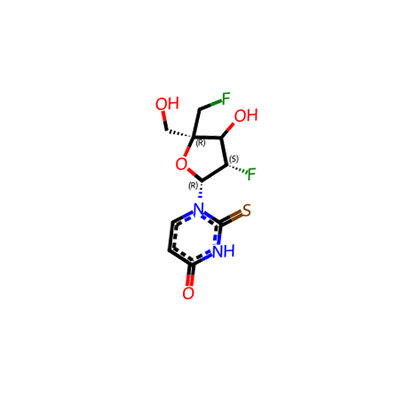 O=c1ccn([C@@H]2O[C@@](CO)(CF)C(O)[C@@H]2F)c(=S)[nH]1